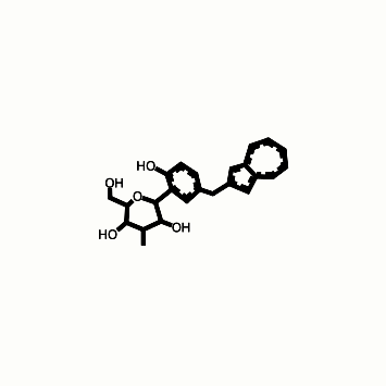 CC1C(O)C(CO)OC(c2cc(Cc3cc4cccccc-4c3)ccc2O)C1O